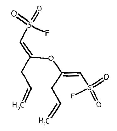 C=CCC(=CS(=O)(=O)F)OC(=CS(=O)(=O)F)CC=C